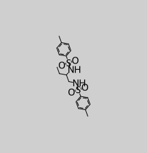 CCC(CNS(=O)(=O)c1ccc(C)cc1)NS(=O)(=O)c1ccc(C)cc1